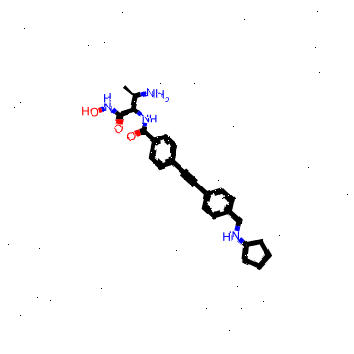 C[C@@H](N)C(NC(=O)c1ccc(C#Cc2ccc(CNC3CCCC3)cc2)cc1)C(=O)NO